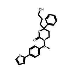 C[C@@H](c1ccc(-c2cccs2)cc1)N1CCC(CCCO)(c2ccccc2)OC1=O